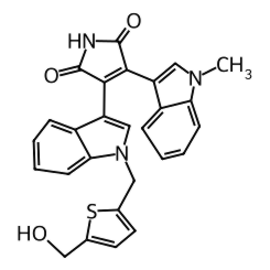 Cn1cc(C2=C(c3cn(Cc4ccc(CO)s4)c4ccccc34)C(=O)NC2=O)c2ccccc21